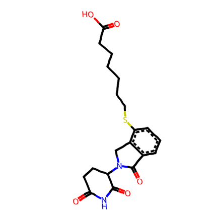 O=C(O)CCCCCCSc1cccc2c1CN(C1CCC(=O)NC1=O)C2=O